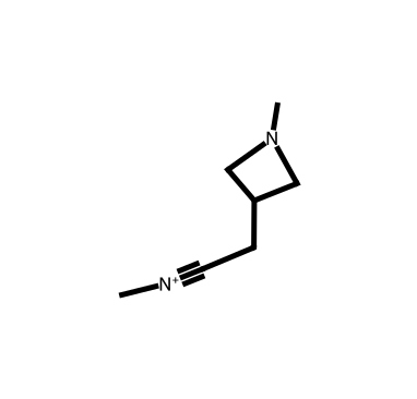 C[N+]#CCC1CN(C)C1